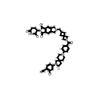 C[C@H]1CC2(CCN(c3ccc(C(=O)N4CC5(CC(CN6Cc7cc8c(cc7C6)C(=O)N(C6CCC(=O)NC6=O)C8=O)C5)C4)cc3)CC2)CN1c1ccc(C#N)c(Cl)c1